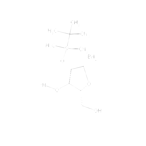 [2H]OC1[C@@H](CO)O[C@@H](B)[C@H]1O[Si](C)(C)C(C)(C)C